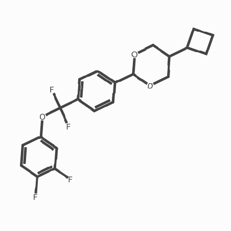 Fc1ccc(OC(F)(F)c2ccc(C3OCC(C4CCC4)CO3)cc2)cc1F